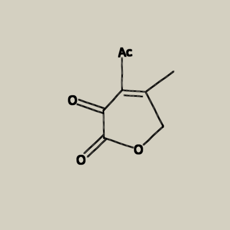 CC(=O)C1=C(C)COC(=O)C1=O